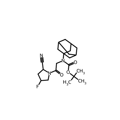 CC(C)(C)OC(=O)N(CC(=O)N1CC(F)CC1C#N)C12CC3CC(CC(C3)C1)C2